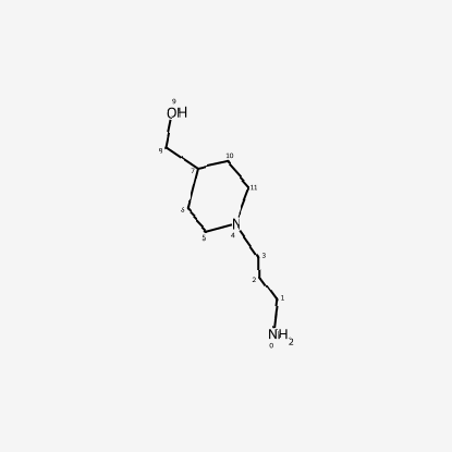 NCCCN1CCC(CO)CC1